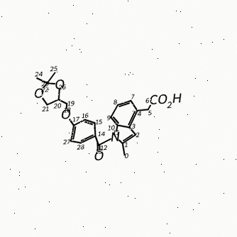 Cc1cc2c(CC(=O)O)cccc2n1C(=O)c1ccc(OCC2COC(C)(C)O2)cc1